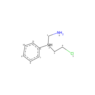 NC[SiH](CCCl)c1ccccc1